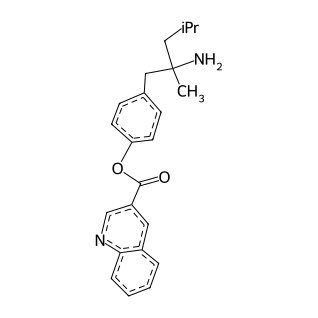 CC(C)CC(C)(N)Cc1ccc(OC(=O)c2cnc3ccccc3c2)cc1